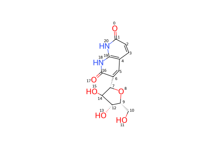 O=c1ccc2cc([C@@H]3O[C@H](CO)[C@H](O)C3O)c(=O)[nH]c2[nH]1